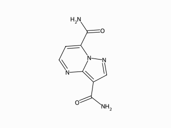 NC(=O)c1cnn2c(C(N)=O)ccnc12